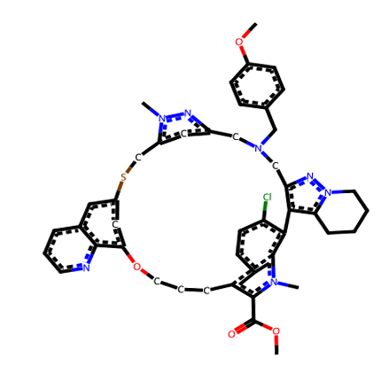 COC(=O)c1c2c3ccc(Cl)c(c3n1C)-c1c(nn3c1CCCC3)CN(Cc1ccc(OC)cc1)Cc1cc(n(C)n1)CSc1cc(c3ncccc3c1)OCCC2